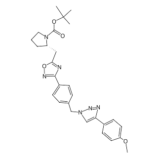 COc1ccc(-c2cn(Cc3ccc(-c4noc(C[C@@H]5CCCN5C(=O)OC(C)(C)C)n4)cc3)nn2)cc1